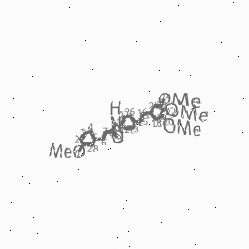 COc1cccc(/C=C/C(=O)Nc2ccc(/C=C/c3cc(OC)c(OC)c(OC)c3)cc2)c1